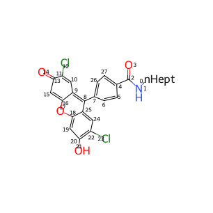 CCCCCCCNC(=O)c1ccc(-c2c3cc(Cl)c(=O)cc-3oc3cc(O)c(Cl)cc23)cc1